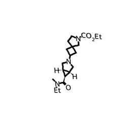 CCOC(=O)N1CCC2(CC(N3C[C@@H]4[C@H](C3)[C@@H]4C(=O)N(C)CC)C2)C1